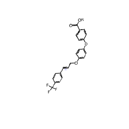 O=C(O)c1ccc(Oc2ccc(OC/C=C/c3ccc(C(F)(F)F)cc3)cc2)cc1